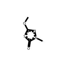 [CH2]n1nc(OC)sc1=O